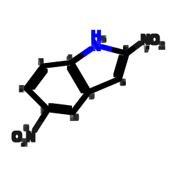 O=[N+]([O-])c1ccc2[nH]c([N+](=O)[O-])cc2c1